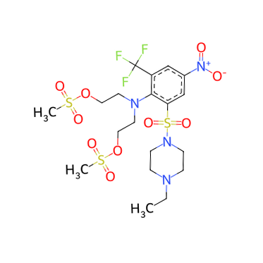 CCN1CCN(S(=O)(=O)c2cc([N+](=O)[O-])cc(C(F)(F)F)c2N(CCOS(C)(=O)=O)CCOS(C)(=O)=O)CC1